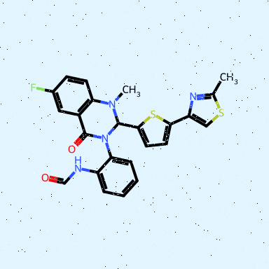 Cc1nc(-c2ccc(C3N(C)c4ccc(F)cc4C(=O)N3c3ccccc3NC=O)s2)cs1